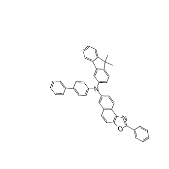 CC1(C)c2ccccc2-c2cc(N(c3ccc(-c4ccccc4)cc3)c3ccc4c(ccc5oc(-c6ccccc6)nc54)c3)ccc21